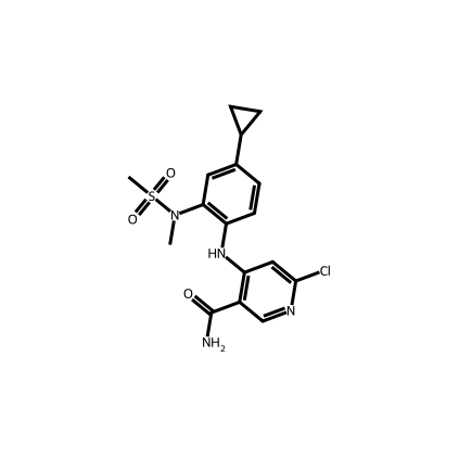 CN(c1cc(C2CC2)ccc1Nc1cc(Cl)ncc1C(N)=O)S(C)(=O)=O